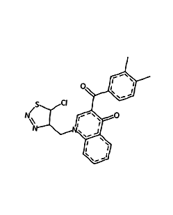 Cc1ccc(C(=O)c2cn(CC3N=NSC3Cl)c3ccccc3c2=O)cc1C